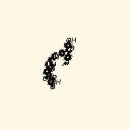 COc1ccc([C@H]2COc3cc(O)ccc3[C@H]2c2ccc(N3CCC(CN4CCN5c6ccc7c(c6OC[C@H]5C4)CN(C4CCC(=O)NC4=O)C7=O)CC3)cc2)cc1